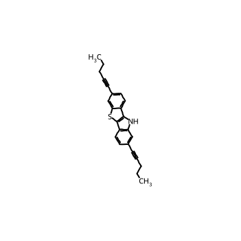 CCCC#Cc1ccc2c(c1)[nH]c1c3ccc(C#CCCC)cc3sc21